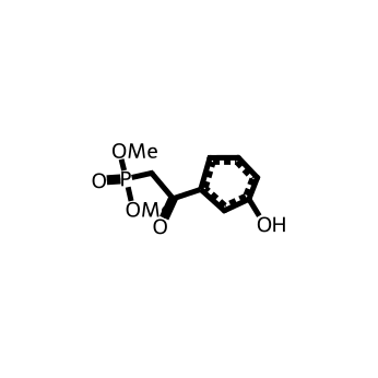 COP(=O)(CC(=O)c1cccc(O)c1)OC